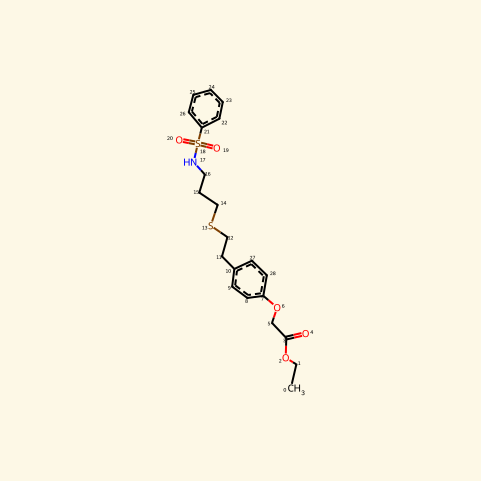 CCOC(=O)COc1ccc(CCSCCCNS(=O)(=O)c2ccccc2)cc1